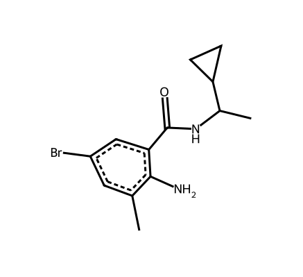 Cc1cc(Br)cc(C(=O)NC(C)C2CC2)c1N